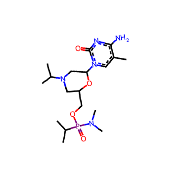 Cc1cn(C2CN(C(C)C)CC(COP(=O)(C(C)C)N(C)C)O2)c(=O)nc1N